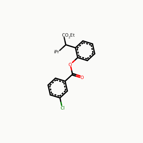 CCOC(=O)C(c1ccccc1OC(=O)c1cccc(Cl)c1)C(C)C